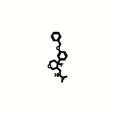 CN(C)NCC1COCCC1(F)c1cccc(OCc2ccccc2)c1